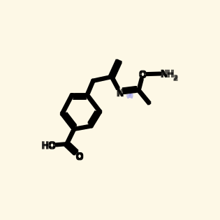 C=C(Cc1ccc(C(=O)O)cc1)/N=C(/C)ON